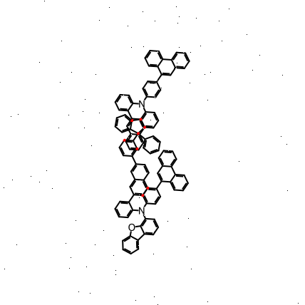 c1ccc(C2(c3cccc(-c4ccc5ccc(-c6ccccc6N(c6ccc(-c7cc8ccccc8c8ccccc78)cc6)c6cccc7c6oc6ccccc67)cc5c4)c3)c3ccccc3-c3c(N(c4ccc(-c5cc6ccccc6c6ccccc56)cc4)c4ccccc4-c4ccc5ccccc5c4)cccc32)cc1